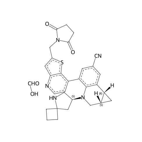 N#Cc1cc(-c2ccnc3cc(CN4C(=O)CCC4=O)sc23)c2c(c1)[C@@H]1C[C@@H]1CN2[C@@H]1CNC2(CCC2)C1.O=CO